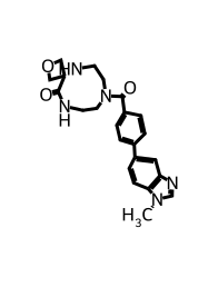 Cn1cnc2cc(-c3ccc(C(=O)N4CCNC(=O)C5(COC5)NCC4)cc3)ccc21